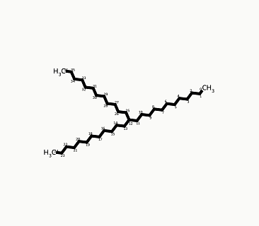 CCCCCCCCCCCCC(CCCCCCCCCCCC)CCCCCCCCCCCC